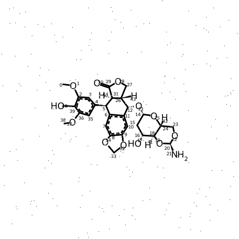 COc1cc([C@@H]2c3cc4c(cc3[C@@H](O[C@H]3C[C@@H](O)[C@@H]5O[C@H](N)OC[C@H]5O3)[C@H]3COC(=O)[C@H]23)OCO4)cc(OC)c1O